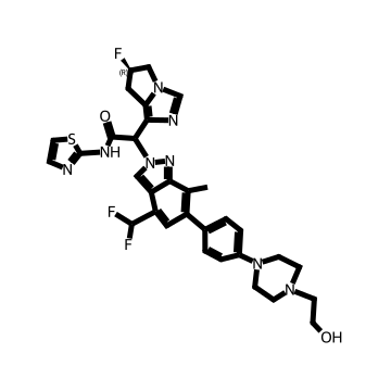 Cc1c(-c2ccc(N3CCN(CCO)CC3)cc2)cc(C(F)F)c2cn(C(C(=O)Nc3nccs3)c3ncn4c3C[C@@H](F)C4)nc12